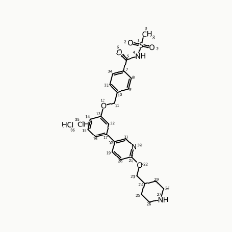 CS(=O)(=O)NC(=O)c1ccc(COc2cccc(-c3ccc(OCC4CCNCC4)nc3)c2)cc1.Cl.Cl